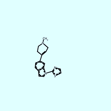 CN1CC=C(c2ccc3ccn(-c4nccs4)c3c2)CC1